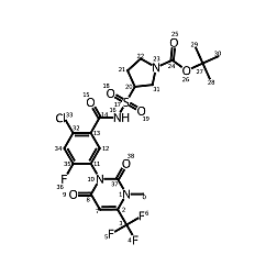 Cn1c(C(F)(F)F)cc(=O)n(-c2cc(C(=O)NS(=O)(=O)C3CCN(C(=O)OC(C)(C)C)C3)c(Cl)cc2F)c1=O